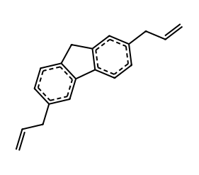 C=CCc1ccc2c(c1)Cc1ccc(CC=C)cc1-2